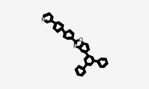 c1ccc(-c2cc(-c3ccccc3)cc(-c3ccc4oc(-c5ccc(-c6ccc(-c7cccnc7)cc6)cc5)nc4c3)c2)cc1